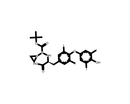 CC(C)(C)OC(=O)N(N[C@@H](Cc1cc(I)c(Oc2cc(I)c(O)c(I)c2)c(I)c1)C(=O)O)N1CC1